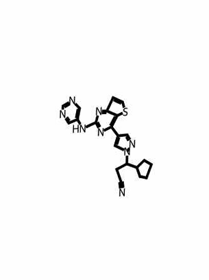 N#CCC(C1CCCC1)n1cc(-c2nc(Nc3cncnc3)nc3ccsc23)cn1